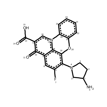 NC1CCN(c2c(F)cc3c(=O)c(C(=O)O)cn4c3c2Oc2ccccc2-4)C1